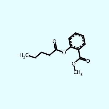 [CH2]CCCC(=O)Oc1ccccc1C(=O)OC